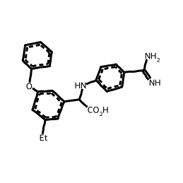 CCc1cc(Oc2ccccc2)cc(C(Nc2ccc(C(=N)N)cc2)C(=O)O)c1